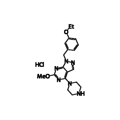 CCOc1cccc(Cn2ncc3c(N4CCNCC4)nc(OC)nc32)c1.Cl